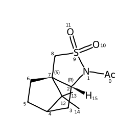 CC(=O)N1[C@@H]2CC3CC[C@]2(CS1(=O)=O)C3(C)C